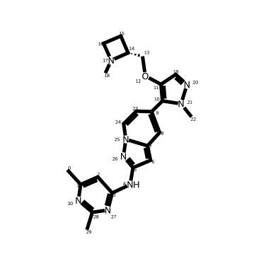 Cc1cc(Nc2cc3cc(-c4c(OC[C@H]5CCN5C)cnn4C)ccn3n2)nc(C)n1